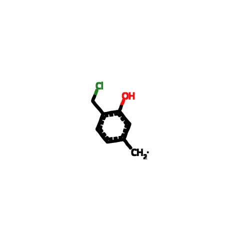 [CH2]c1ccc(CCl)c(O)c1